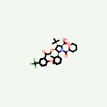 COc1ccc(C(F)(F)F)cc1C(=O)CO[C@H]1[C@H](C(C)(C)C)[C@@H](C(=O)O)N(C(=O)[C@@H]2CCCCO2)[C@H]1c1ccccc1C